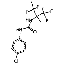 CC(F)(F)C(C)(NC(=O)Nc1ccc(Cl)cc1)C(F)(F)F